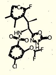 Cc1ccc(F)c([C@@H](C)[C@H](NS(=O)(=O)c2ccc(Cl)cc2OC(F)F)c2n[nH]c(=O)o2)c1C